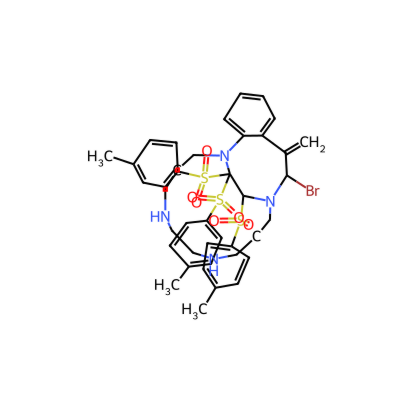 C=C1c2ccccc2N2CCCNCCNCCCN(C1Br)C(S(=O)(=O)c1ccc(C)cc1)C2(S(=O)(=O)c1ccc(C)cc1)S(=O)(=O)c1ccc(C)cc1